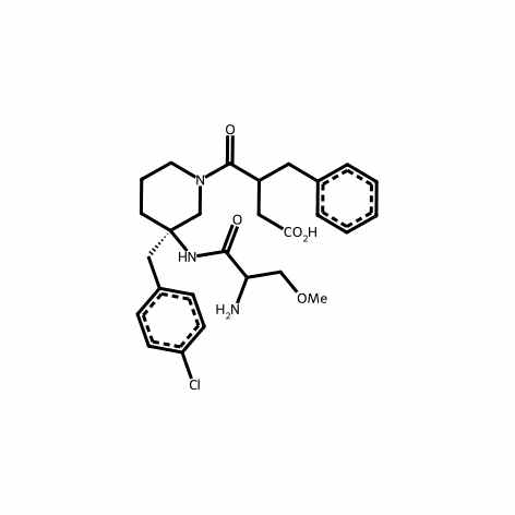 COCC(N)C(=O)N[C@@]1(Cc2ccc(Cl)cc2)CCCN(C(=O)C(CC(=O)O)Cc2ccccc2)C1